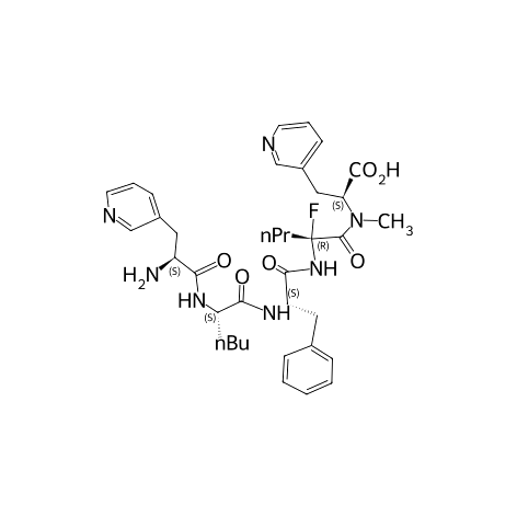 CCCC[C@H](NC(=O)[C@@H](N)Cc1cccnc1)C(=O)N[C@@H](Cc1ccccc1)C(=O)N[C@@](F)(CCC)C(=O)N(C)[C@@H](Cc1cccnc1)C(=O)O